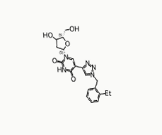 CCc1ccccc1Cn1cc(-c2cn([C@@H]3CC(O)[C@H](CO)O3)c(=O)[nH]c2=O)nn1